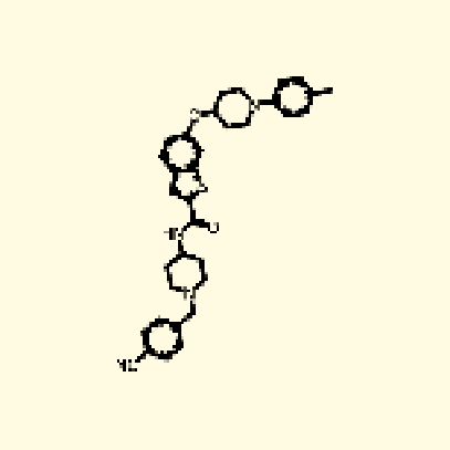 Cc1ccc(N2CCC(Oc3ccc4cc(C(=O)NC5CCN(Cc6ccc(C#N)cc6)CC5)sc4c3)CC2)cc1